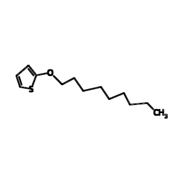 CCCCCCCCCOc1cccs1